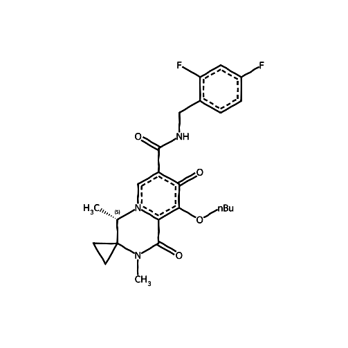 CCCCOc1c2n(cc(C(=O)NCc3ccc(F)cc3F)c1=O)[C@@H](C)C1(CC1)N(C)C2=O